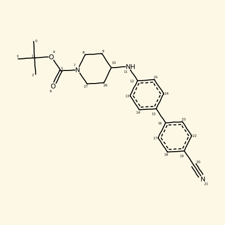 CC(C)(C)OC(=O)N1CCC(Nc2ccc(-c3ccc(C#N)cc3)cc2)CC1